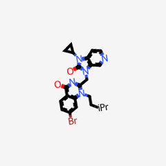 CC(C)CCn1c(Cn2c(=O)n(C3CC3)c3ccncc32)nc(=O)c2ccc(Br)cc21